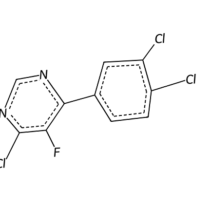 Fc1c(Cl)ncnc1-c1ccc(Cl)c(Cl)c1